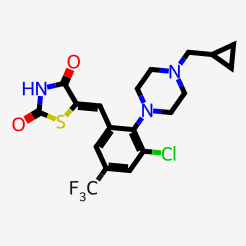 O=C1NC(=O)C(=Cc2cc(C(F)(F)F)cc(Cl)c2N2CCN(CC3CC3)CC2)S1